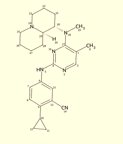 Cc1cnc(Nc2ccc(C3CC3)c(C#N)c2)nc1N(C)[C@H]1CCCN2CCCC[C@H]12